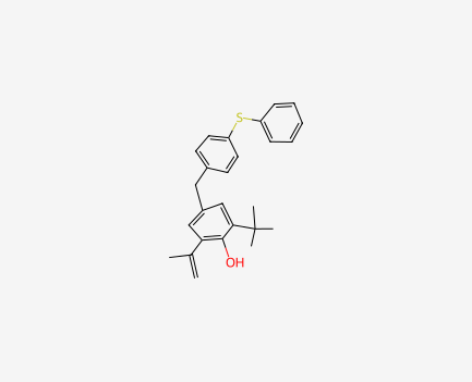 C=C(C)c1cc(Cc2ccc(Sc3ccccc3)cc2)cc(C(C)(C)C)c1O